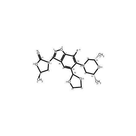 C[C@@H]1CN(c2noc3c(F)c(N4C[C@@H](C)O[C@@H](C)C4)c(C4OCCO4)cc23)C(=O)O1